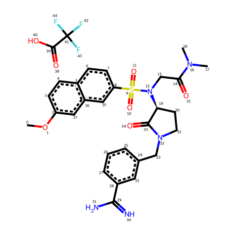 COc1ccc2ccc(S(=O)(=O)N(CC(=O)N(C)C)[C@H]3CCN(Cc4cccc(C(=N)N)c4)C3=O)cc2c1.O=C(O)C(F)(F)F